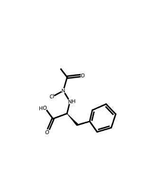 CC(=O)N(Cl)N[C@@H](Cc1ccccc1)C(=O)O